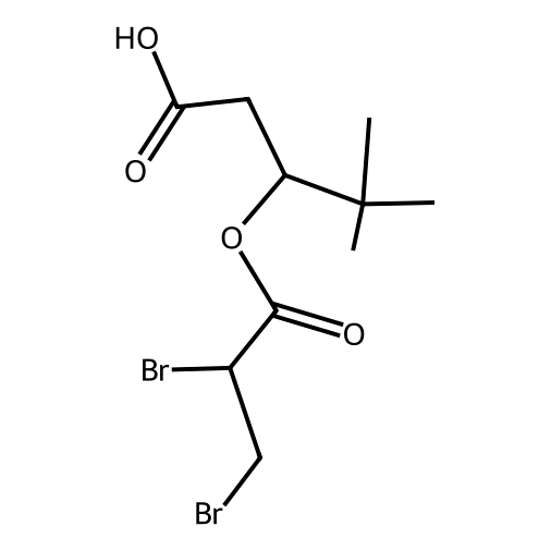 CC(C)(C)C(CC(=O)O)OC(=O)C(Br)CBr